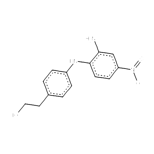 Nc1cc([N+](=O)[O-])ccc1Nc1ccc(CCO)cc1